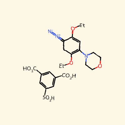 CCOC1=CC(N2CCOCC2)=C(OCC)CC1=[N+]=[N-].O=C(O)c1cc(C(=O)O)cc(S(=O)(=O)O)c1